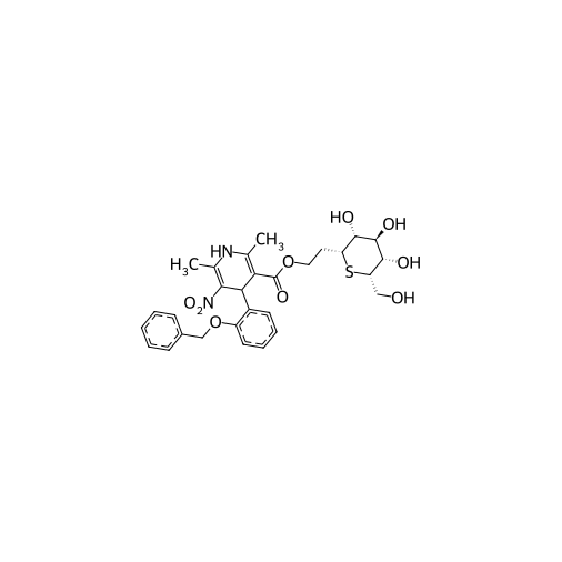 CC1=C(C(=O)OCC[C@H]2S[C@@H](CO)[C@@H](O)[C@H](O)[C@H]2O)C(c2ccccc2OCc2ccccc2)C([N+](=O)[O-])=C(C)N1